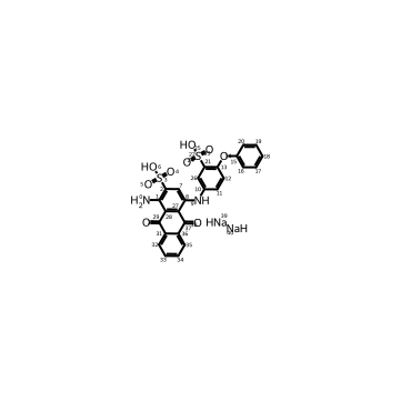 Nc1c(S(=O)(=O)O)cc(Nc2ccc(Oc3ccccc3)c(S(=O)(=O)O)c2)c2c1C(=O)c1ccccc1C2=O.[NaH].[NaH]